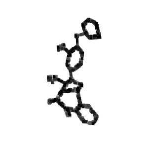 Nc1c2c(=O)[nH]c3ccccc3c2nn1-c1ccc(Oc2ccccc2)c(O)c1